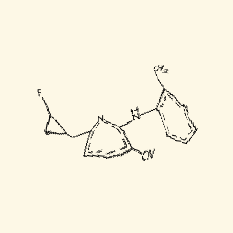 Cc1ncccc1Nc1nc(C2CC2F)ccc1C#N